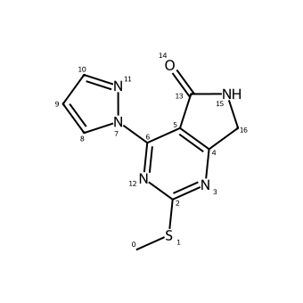 CSc1nc2c(c(-n3cccn3)n1)C(=O)NC2